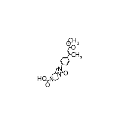 COC(=O)C=C(C)c1ccc(N2CC3CN(C(=O)O)CCN3C2=O)cc1